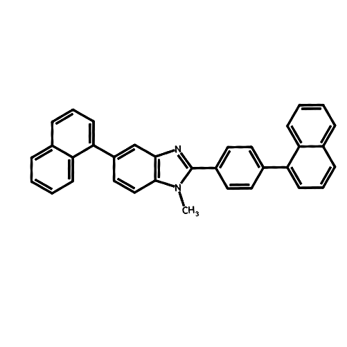 Cn1c(-c2ccc(-c3cccc4ccccc34)cc2)nc2cc(-c3cccc4ccccc34)ccc21